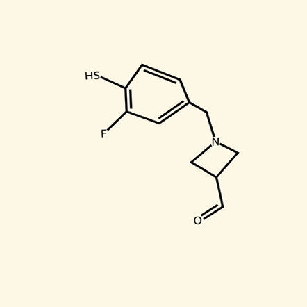 O=CC1CN(Cc2ccc(S)c(F)c2)C1